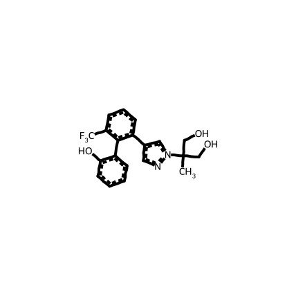 CC(CO)(CO)n1cc(-c2cccc(C(F)(F)F)c2-c2ccccc2O)cn1